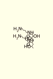 CC(O)CC(CC(O)C(O)C(C)C(=O)NCCCCN)C(=O)NCCCCN